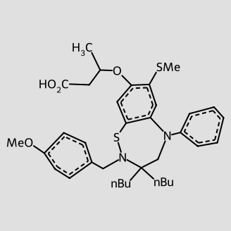 CCCCC1(CCCC)CN(c2ccccc2)c2cc(SC)c(OC(C)CC(=O)O)cc2SN1Cc1ccc(OC)cc1